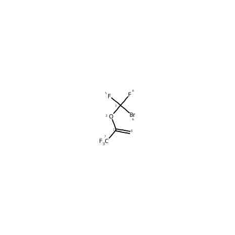 C=C(OC(F)(F)Br)C(F)(F)F